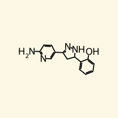 Nc1ccc(C2=NNC(c3ccccc3O)C2)cn1